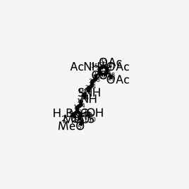 B[C@@H]1O[C@H](COC)[C@H](OP(O)(=S)OC)C1CCCNC(=S)NCCCCO[C@@H]1O[C@H](COC(C)=O)[C@H](OC(C)=O)[C@H](OC(C)=O)[C@H]1NC(C)=O